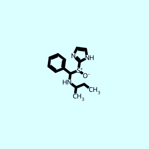 CCC(C)NC(c1ccccc1)[S+]([O-])c1ncc[nH]1